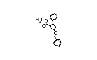 COC(=O)C1CC(OCc2ccccc2)CC1c1ccccc1